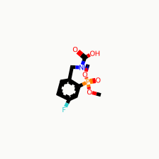 COP(=O)(OC)c1cc(F)ccc1CNC(=O)O